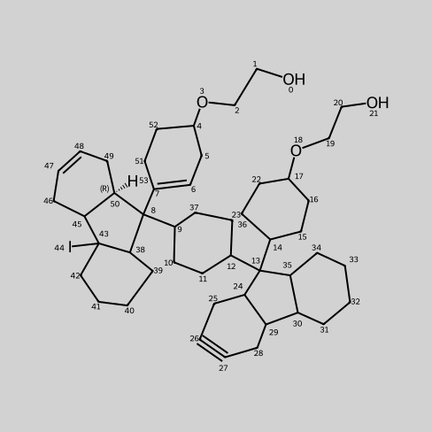 OCCOC1CC=C(C2(C3CCC(C4(C5CCC(OCCO)CC5)C5CC#CCC5C5CCCCC54)CC3)C3CCCCC3(I)C3CC=CC[C@H]32)CC1